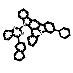 C1=CCC(c2ccc3c4cc5c6ccccc6n(-c6nc(-c7ccc8ccccc8c7)c7ccccc7n6)c5c5c6ccccc6n(c3c2)c45)C=C1